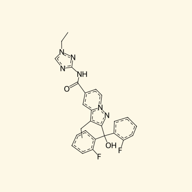 CCc1c(C(O)(c2ccccc2F)c2ccccc2F)nn2ccc(C(=O)Nc3ncn(CC)n3)cc12